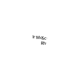 [Ir].[Mo].[Rh].[Sc]